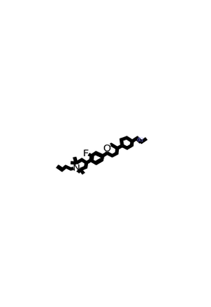 C=CCCN1C(C)(C)CC(c2ccc(C3CCC(C4CCC(/C=C/C)CC4)CO3)cc2F)CC1(C)C